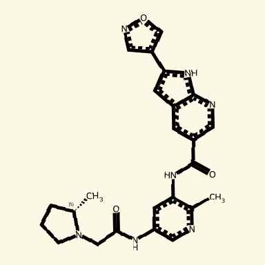 Cc1ncc(NC(=O)CN2CCC[C@@H]2C)cc1NC(=O)c1cnc2[nH]c(-c3cnoc3)cc2c1